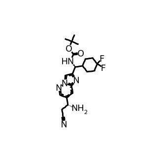 CC(C)(C)OC(=O)N[C@H](c1cn2ncc([C@H](N)CC#N)cc2n1)C1CCC(F)(F)CC1